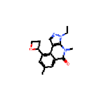 CCn1ncc2c3c(C4CCO4)cc(C)cc3c(=O)n(C)c21